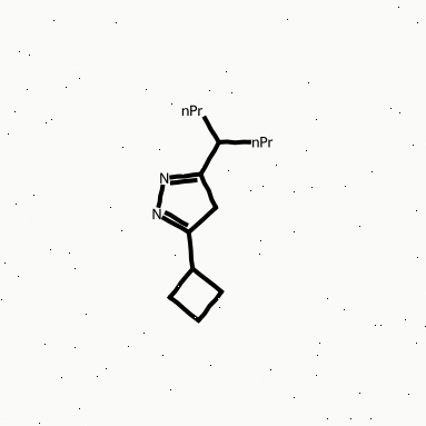 CCCC(CCC)C1=NN=C(C2CCC2)C1